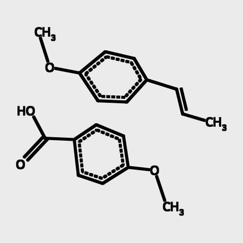 CC=Cc1ccc(OC)cc1.COc1ccc(C(=O)O)cc1